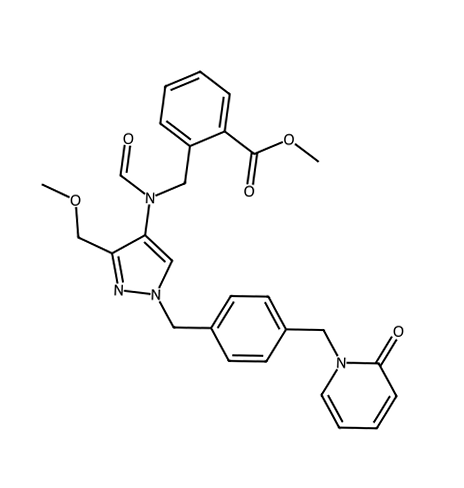 COCc1nn(Cc2ccc(Cn3ccccc3=O)cc2)cc1N(C=O)Cc1ccccc1C(=O)OC